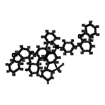 CC1(C)c2ccccc2-c2ccc(N(c3ccc(-c4cccc5c4oc4ccccc45)cc3)c3ccccc3-c3ccc4c5ccccc5c5c(ccc6oc7ccccc7c65)c4c3)cc21